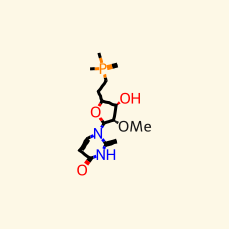 C=C1NC(=O)C=CN1C1OC(CCP(=C)(C)C)[C@@H](O)[C@H]1OC